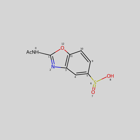 CC(=O)Nc1nc2cc(S(=O)O)ccc2o1